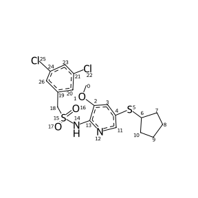 COc1cc(SC2CCCC2)cnc1NS(=O)(=O)Cc1cc(Cl)cc(Cl)c1